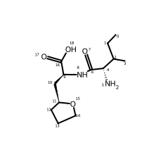 CCC(C)[C@H](N)C(=O)N[C@@H](C[C@@H]1CCCO1)C(=O)O